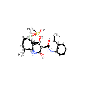 CCc1ccccc1NC(=O)c1c(OS(C)(=O)=O)c2c(Cl)ccc(C)c2[nH]c1=O